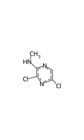 CNc1ncc(Cl)nc1Cl